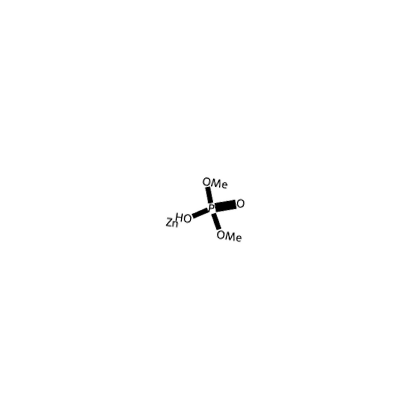 COP(=O)(O)OC.[Zn]